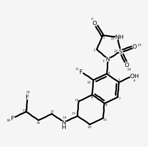 O=C1CN(c2c(O)cc3c(c2F)CC(NCCC(F)F)CC3)S(=O)(=O)N1